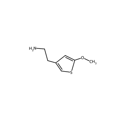 COc1cc(CCN)cs1